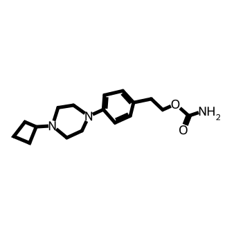 NC(=O)OCCc1ccc(N2CCN(C3CCC3)CC2)cc1